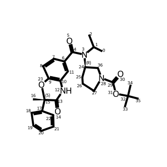 CC(C)N(C(=O)c1ccc2c(c1)NC(=O)[C@](C)(c1ccccc1)O2)[C@@H]1CCCN(C(=O)OC(C)(C)C)C1